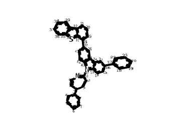 C1=CC(c2ccccc2)C=CC(n2c3ccc(-c4ccccc4)cc3c3cc(-c4cccc5c4sc4ccccc45)ccc32)=N1